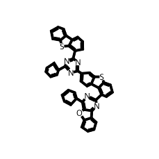 c1ccc(-c2nc(-c3ccc4c(c3)sc3cccc(-c5nc(-c6ccccc6)c6oc7ccccc7c6n5)c34)nc(-c3cccc4c3sc3ccccc34)n2)cc1